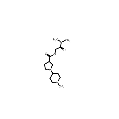 CN1CCC(N2CCC(C(=O)OCC(=O)N(C)C)C2)CC1